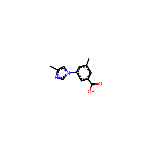 Cc1cc(C(=O)O)cc(-n2cnc(C)c2)c1